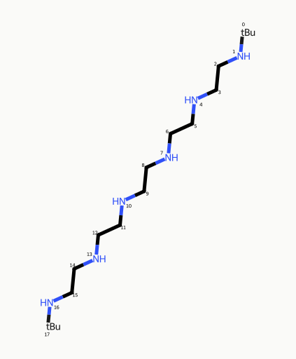 CC(C)(C)NCCNCCNCCNCCNCCNC(C)(C)C